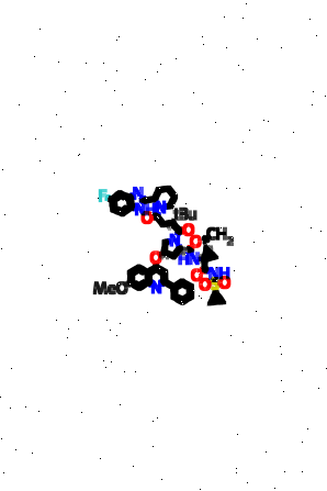 C=C[C@@H]1C[C@]1(NC(=O)[C@@H]1C[C@@H](Oc2cc(-c3ccccc3)nc3cc(OC)ccc23)CN1C(=O)[C@@H](CC(=O)N1CCCCC1c1nc2cc(F)ccc2[nH]1)C(C)(C)C)C(=O)NS(=O)(=O)C1CC1